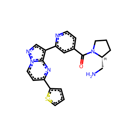 NC[C@H]1CCCN1C(=O)c1ccnc(-c2cnn3ccc(-c4cccs4)nc23)c1